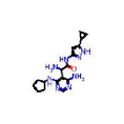 Nc1ncnc(NC2CCCC2)c1C(N)C(=O)Nc1cc(C2CC2)[nH]n1